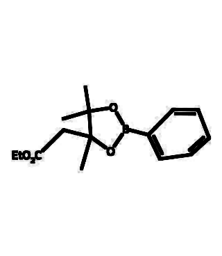 CCOC(=O)CC1(C)OB(c2ccccc2)OC1(C)C